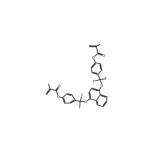 C=C(C)C(=O)Oc1ccc(C(F)(F)Oc2ccc(OC(F)(F)c3ccc(OC(=O)C(=C)C)cc3)c3ccccc23)cc1